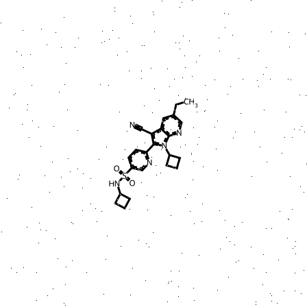 CCc1cnc2c(c1)c(C#N)c(-c1ccc(S(=O)(=O)NC3CCC3)cn1)n2C1CCC1